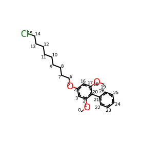 COc1cc(OCCCCCCCCCCl)cc(OC)c1-c1ccccc1